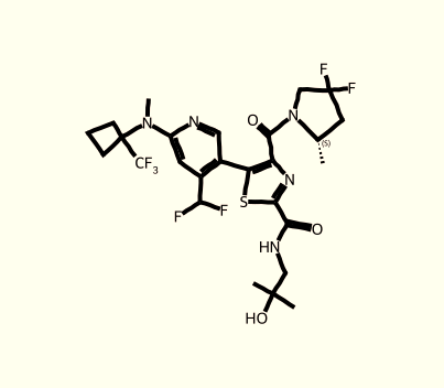 C[C@H]1CC(F)(F)CN1C(=O)c1nc(C(=O)NCC(C)(C)O)sc1-c1cnc(N(C)C2(C(F)(F)F)CCC2)cc1C(F)F